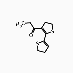 CCC(=O)C1=C(C2=CCCS2)SCC1